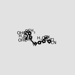 Cc1ccc(N2CCN(CCCn3cc(-c4ccc(-c5ccc6c(c5)C(C)(C)C(=O)N6c5ccc(C#N)c(Cl)c5)cc4)cn3)CC2)cc1C(=O)N(C=O)C(C)CCC(=O)NC=O